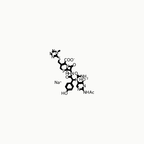 CC(=O)Nc1ncc(N(C(N)=O)C(C(=O)NC2C(=O)N3C(C(=O)[O-])=C(CSc4nnnn4C)CS[C@H]23)c2ccc(O)cc2)c(O)n1.[Na+]